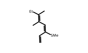 C=C/C(=C\C(C)=C(/C)CC)SC